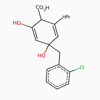 CCCC1=CC(O)(Cc2ccccc2Cl)C=C(O)C1C(=O)O